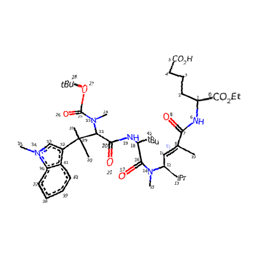 CCOC(=O)C(CCCC(=O)O)NC(=O)/C(C)=C/C(C(C)C)N(C)C(=O)C(NC(=O)C(N(C)C(=O)OC(C)(C)C)C(C)(C)c1cn(C)c2ccccc12)C(C)(C)C